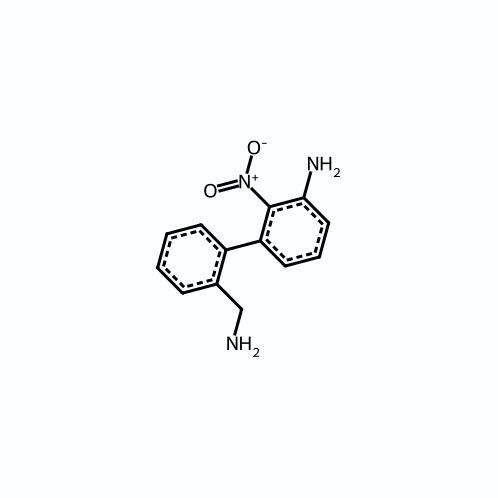 NCc1ccccc1-c1cccc(N)c1[N+](=O)[O-]